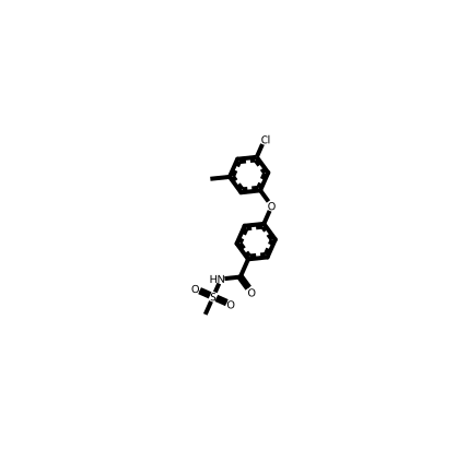 Cc1cc(Cl)cc(Oc2ccc(C(=O)NS(C)(=O)=O)cc2)c1